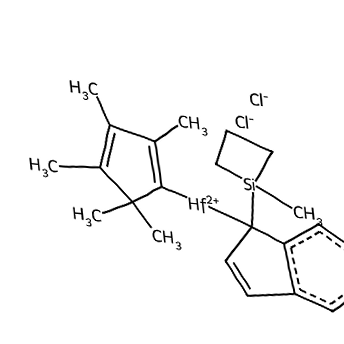 CC1=C(C)C(C)(C)[C]([Hf+2][C]2([Si]3(C)CCC3)C=Cc3ccccc32)=C1C.[Cl-].[Cl-]